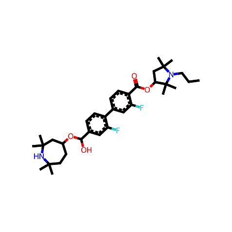 CCCN1C(C)(C)CC(OC(=O)c2ccc(-c3ccc(C(O)OC4CCC(C)(C)NC(C)(C)C4)cc3F)cc2F)C1(C)C